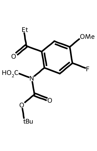 CCC(=O)c1cc(OC)c(F)cc1N(C(=O)O)C(=O)OC(C)(C)C